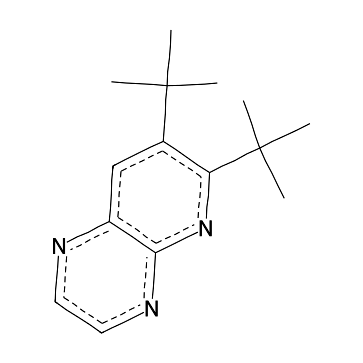 CC(C)(C)c1cc2nccnc2nc1C(C)(C)C